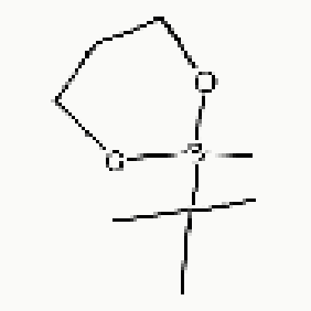 C[B-]1(C(C)(C)C)OCCCO1